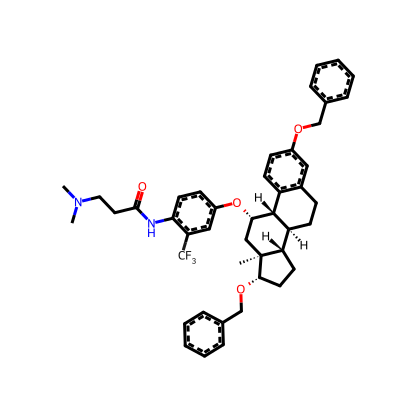 CN(C)CCC(=O)Nc1ccc(O[C@H]2C[C@]3(C)[C@@H](OCc4ccccc4)CC[C@H]3[C@@H]3CCc4cc(OCc5ccccc5)ccc4[C@H]32)cc1C(F)(F)F